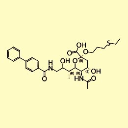 CCSCCCO[C@]1(C(=O)O)C[C@H](O)[C@@H](NC(C)=O)C([C@H](C)C(O)CNC(=O)c2ccc(-c3ccccc3)cc2)O1